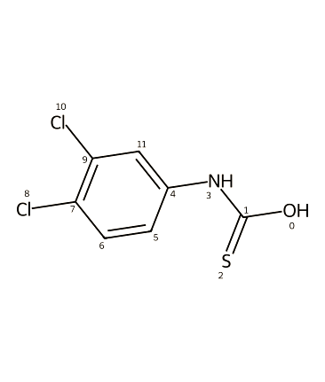 OC(=S)Nc1ccc(Cl)c(Cl)c1